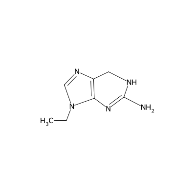 CCn1cnc2c1N=C(N)NC2